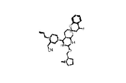 C=CCN1CCN(C2NC(OCC3CCCN3C)NC3C[C@@]4(CCC32)CC(F)c2ccccc2O4)CC1CC#N